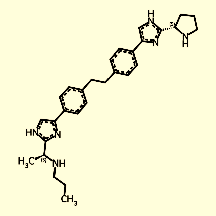 CCCN[C@@H](C)c1nc(-c2ccc(CCc3ccc(-c4c[nH]c([C@@H]5CCCN5)n4)cc3)cc2)c[nH]1